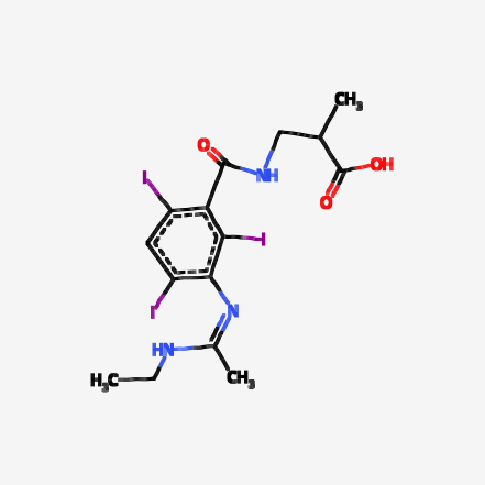 CCNC(C)=Nc1c(I)cc(I)c(C(=O)NCC(C)C(=O)O)c1I